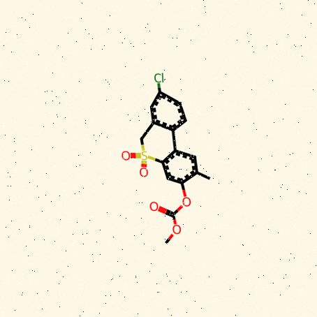 COC(=O)Oc1cc2c(cc1C)-c1ccc(Cl)cc1CS2(=O)=O